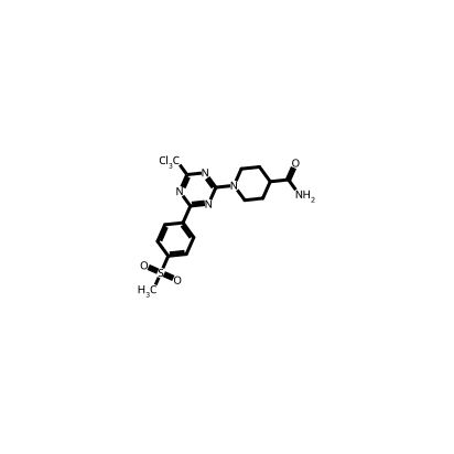 CS(=O)(=O)c1ccc(-c2nc(N3CCC(C(N)=O)CC3)nc(C(Cl)(Cl)Cl)n2)cc1